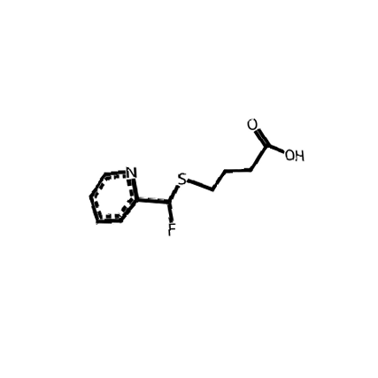 O=C(O)CCCSC(F)c1ccccn1